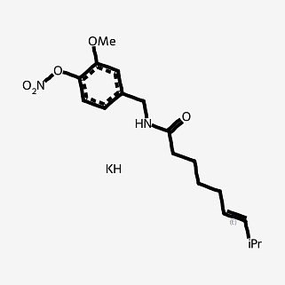 COc1cc(CNC(=O)CCCC/C=C/C(C)C)ccc1O[N+](=O)[O-].[KH]